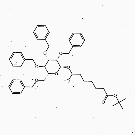 CC(C)(C)OC(=O)CCCCCC(O)O[C@H]1O[C@H](COCc2ccccc2)[C@@H](OCc2ccccc2)[C@H](OCc2ccccc2)[C@@H]1OCc1ccccc1